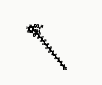 CCC=CCC=CCC=CCC=CCC=CCC=CCCC(=O)Nc1ncccc1C(=O)O